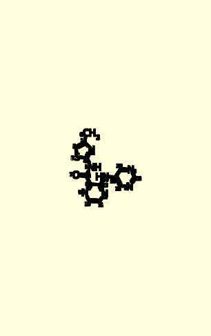 Cc1csc(NC(=O)c2nccnc2Nc2cncnc2)n1